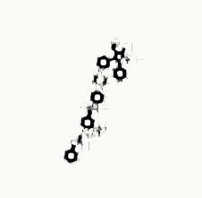 Cc1c(C=O)c(-c2cccc(N3CCN(c4ccc(N[S+]([O-])c5ccc(NCCSc6ccccc6)c([N+](=O)[O-])c5)cc4)CC3)c2)c(-c2ccc(Cl)cc2)n1C